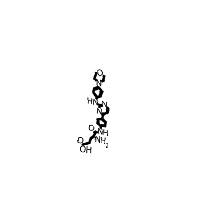 N[C@H](CCC(=O)O)C(=O)Nc1ccc(-c2ccnc(Nc3ccc(N4CCOCC4)cc3)n2)cc1